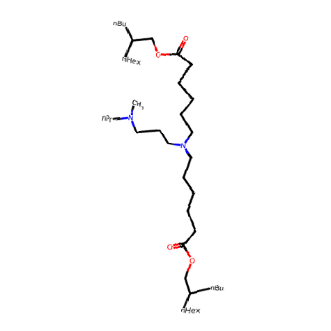 CCCCCCC(CCCC)COC(=O)CCCCCN(CCCCCC(=O)OCC(CCCC)CCCCCC)CCCN(C)CCC